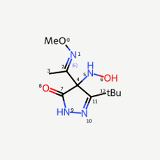 CO/N=C(\C)C1(NO)C(=O)NN=C1C(C)(C)C